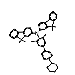 Cc1cc(-c2ccc(C3CCCCC3)cc2)cc(C)c1N(c1ccc2c(c1)C(C)(C)c1ccccc1-2)c1ccc2c(c1)C(C)(C)c1ccccc1-2